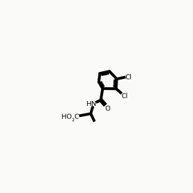 CC(NC(=O)c1cccc(Cl)c1Cl)C(=O)O